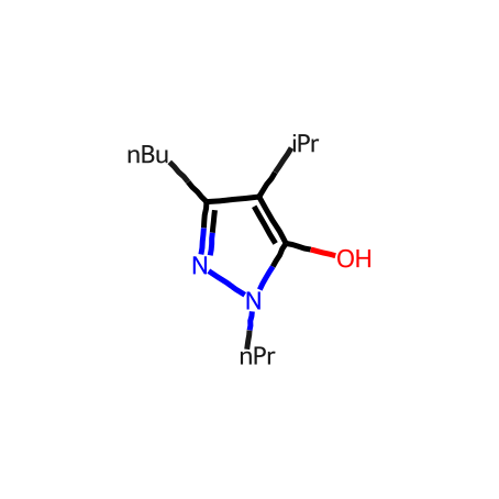 CCCCc1nn(CCC)c(O)c1C(C)C